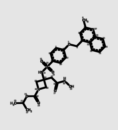 Cc1cc(COc2ccc(S(=O)(=O)NC3(CC(=O)NO)CN(C(=O)OC(C)C)C3)cc2)c2ccccc2n1